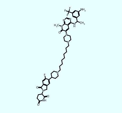 CC(Nc1ncnc2c1cc(N1CCN(CCCCCCCCCN3CCC(c4cc5c(cc4F)C(=O)N(C4CCC(=O)NC4=O)C5)CC3)CC1)c(=O)n2C)c1cc(N)cc(C(F)(F)F)c1